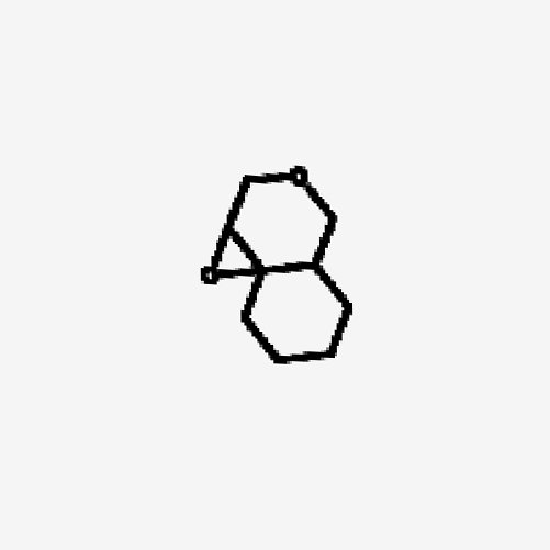 C1CCC23OC2COCC3C1